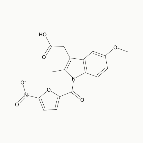 COc1ccc2c(c1)c(CC(=O)O)c(C)n2C(=O)c1ccc([N+](=O)[O-])o1